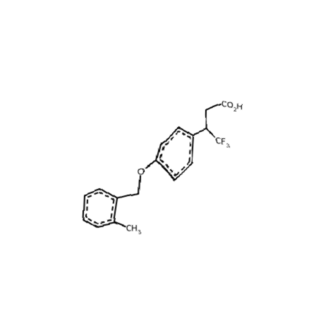 Cc1ccccc1COc1ccc(C(CC(=O)O)C(F)(F)F)cc1